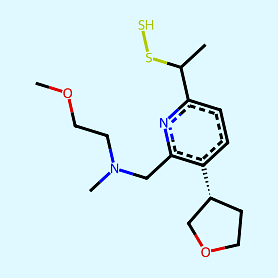 COCCN(C)Cc1nc(C(C)SS)ccc1[C@@H]1CCOC1